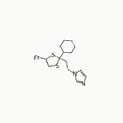 CCC1CSC(CCn2ccnc2)(C2CCCCC2)S1